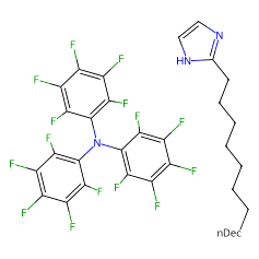 CCCCCCCCCCCCCCCCCc1ncc[nH]1.Fc1c(F)c(F)c(N(c2c(F)c(F)c(F)c(F)c2F)c2c(F)c(F)c(F)c(F)c2F)c(F)c1F